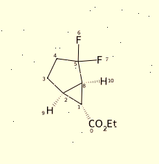 CCOC(=O)[C@@H]1[C@H]2CCC(F)(F)[C@H]21